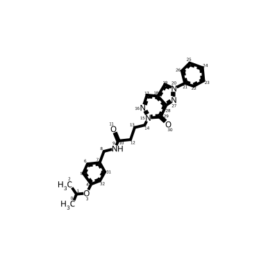 CC(C)Oc1ccc(CNC(=O)CCCn2ncc3cn(-c4ccccc4)nc3c2=O)cc1